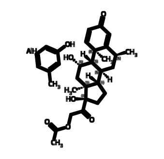 CC(=O)OCC(=O)[C@@]1(O)CC[C@H]2[C@@H]3C[C@H](C)C4=CC(=O)C=C[C@]4(C)[C@H]3[C@@H](O)C[C@@]21C.Cc1cccc(O)c1.[AlH3]